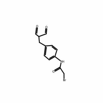 O=CC(C=O)Cc1ccc(NC(=O)CBr)cc1